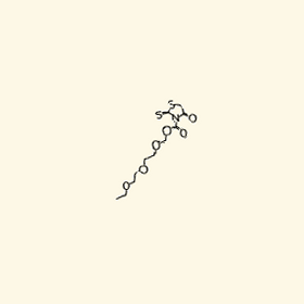 CCOCCOCCOCOC(=O)N1C(=O)CSC1=S